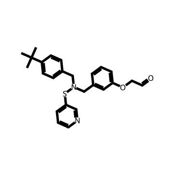 CC(C)(C)c1ccc(CN(Cc2cccc(OCC=O)c2)Sc2cccnc2)cc1